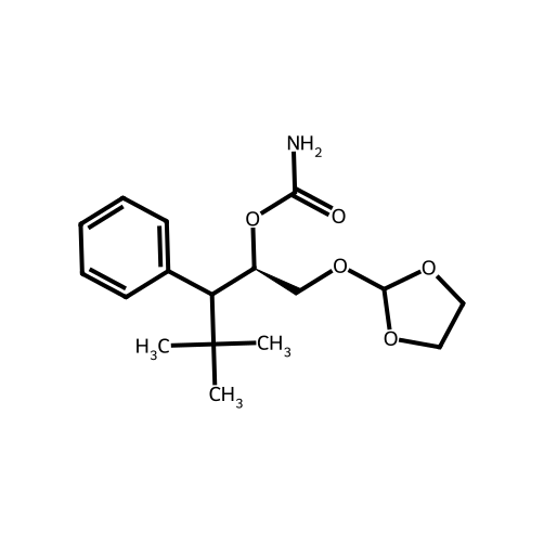 CC(C)(C)C(c1ccccc1)[C@H](COC1OCCO1)OC(N)=O